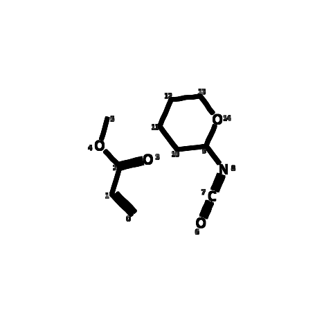 C=CC(=O)OC.O=C=NC1CCCCO1